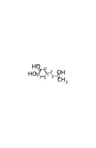 CC(O)CCc1ccc(O)c(O)c1